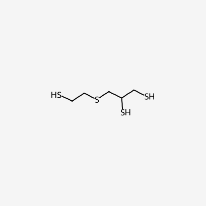 SCCSCC(S)CS